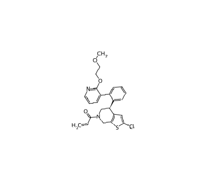 C=CC(=O)N1Cc2sc(Cl)cc2[C@H](c2ccccc2-c2cccnc2OCCOC)C1